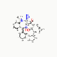 CN1c2ccccc2C(c2ccccc2)=N[C@H](C(=O)C(CC2CC2)C(O)CC2CCCC2)C1N